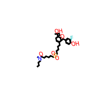 CCCCN(C)C(=O)CCCCCS(=O)(=O)CCCCCC1=CCC2(C(C)(C)O)COC(c3ccc(O)c(F)c3)C1C2